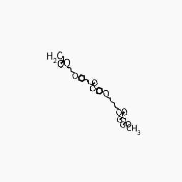 C=CC(=O)OCCCCOc1ccc(/C=C/C(=O)Oc2ccc(OCCCCCCOC(=O)C(=O)CC(=O)OC)cc2)cc1